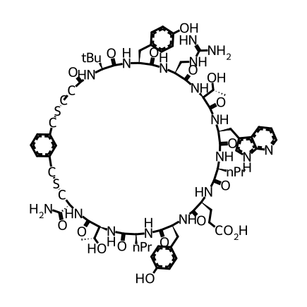 CCC[C@@H]1NC(=O)[C@H](Cc2c[nH]c3ncccc23)NC(=O)[C@H]([C@@H](C)O)NC(=O)[C@H](CNC(=N)N)NC(=O)[C@H](Cc2ccc(O)cc2)NC(=O)[C@H](C(C)(C)C)NC(=O)CCSCc2cccc(c2)CSC[C@@H](C(N)=O)NC(=O)[C@H]([C@@H](C)O)NC(=O)[C@H](CCC)NC(=O)[C@H](Cc2ccc(O)cc2)NC(=O)[C@H](CCC(=O)O)NC1=O